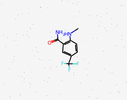 CNc1ccc(C(F)(F)F)cc1C(N)=O